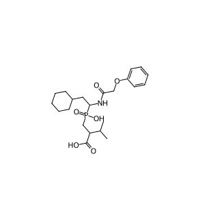 CC(C)C(CP(=O)(O)C(CC1CCCCC1)NC(=O)COc1ccccc1)C(=O)O